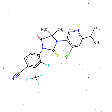 CC(C)c1cc(Cl)c(N2C(=S)N(c3ccc(C#N)c(C(F)(F)F)c3F)C(=O)C2(C)C)cn1